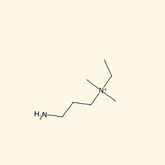 CC[N+](C)(C)CCCN